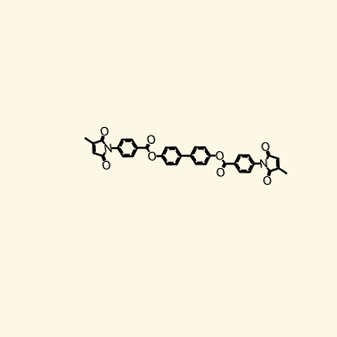 CC1=CC(=O)N(c2ccc(C(=O)Oc3ccc(-c4ccc(OC(=O)c5ccc(N6C(=O)C=C(C)C6=O)cc5)cc4)cc3)cc2)C1=O